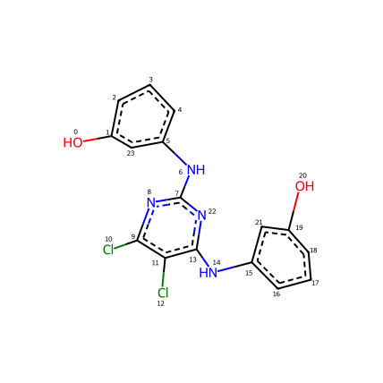 Oc1cccc(Nc2nc(Cl)c(Cl)c(Nc3cccc(O)c3)n2)c1